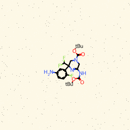 CC(C)(C)OC(=O)NC1=NC(c2cc(N)ccc2F)(C(F)F)CN(C(=O)OC(C)(C)C)C1